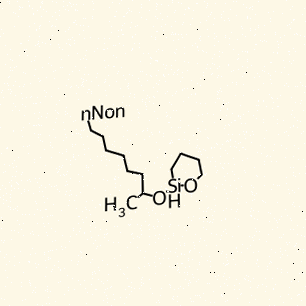 CCCCCCCCCCCCCCCC(C)O[SiH]1CCCCO1